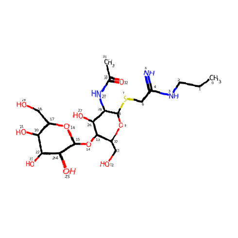 CCCNC(=N)CSC1OC(CO)C(OC2OC(CO)C(O)C(O)C2O)C(O)C1NC(C)=O